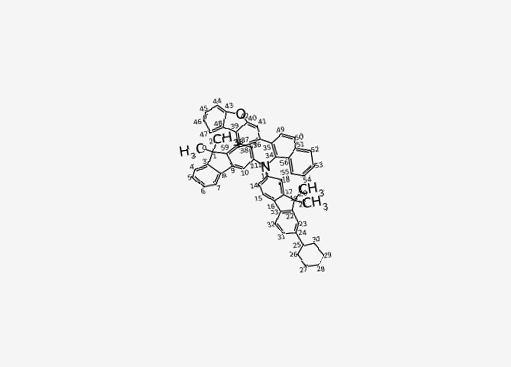 CC1(C)c2ccccc2-c2cc(N(c3ccc4c(c3)C(C)(C)c3cc(C5CCCCC5)ccc3-4)c3c(-c4ccc5c(c4)oc4ccccc45)ccc4ccccc34)ccc21